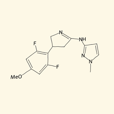 COc1cc(F)c(C2CN=C(Nc3ccn(C)n3)C2)c(F)c1